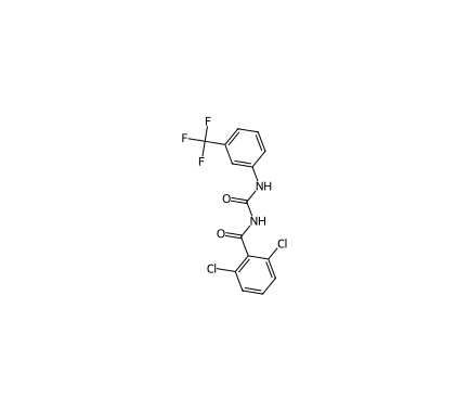 O=C(NC(=O)c1c(Cl)cccc1Cl)Nc1cccc(C(F)(F)F)c1